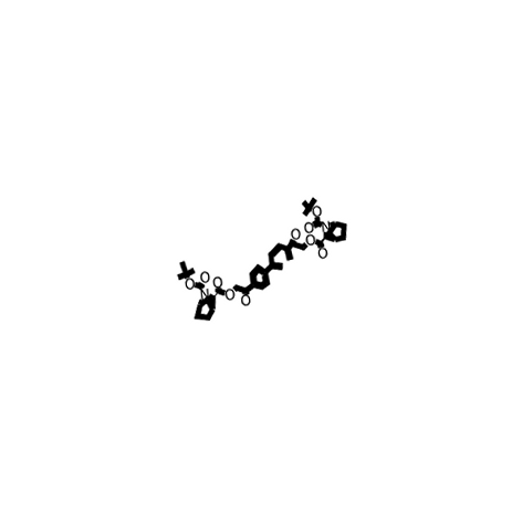 C=C(/C=C\C(=C)c1ccc(C(=O)COC(=O)[C@@H]2C3CCC(C3)N2C(=O)OC(C)(C)C)cc1)C(=O)COC(=O)[C@@H]1C2CCC(C2)N1C(=O)OC(C)(C)C